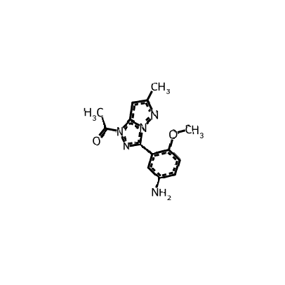 COc1ccc(N)cc1-c1nn(C(C)=O)c2cc(C)nn12